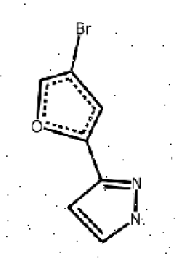 Brc1coc(C2=N[N]C=C2)c1